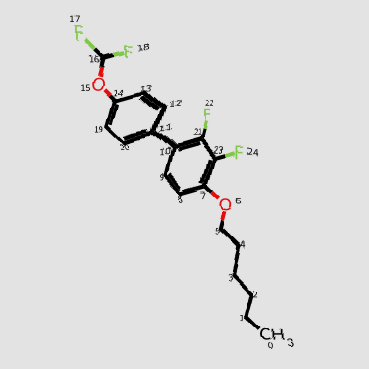 CCCCCCOc1ccc(-c2ccc(OC(F)F)cc2)c(F)c1F